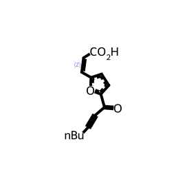 CCCCC#CC(=O)c1ccc(/C=C\C(=O)O)o1